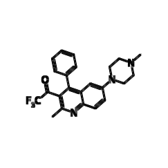 Cc1nc2ccc(N3CCN(C)CC3)cc2c(-c2ccccc2)c1C(=O)C(F)(F)F